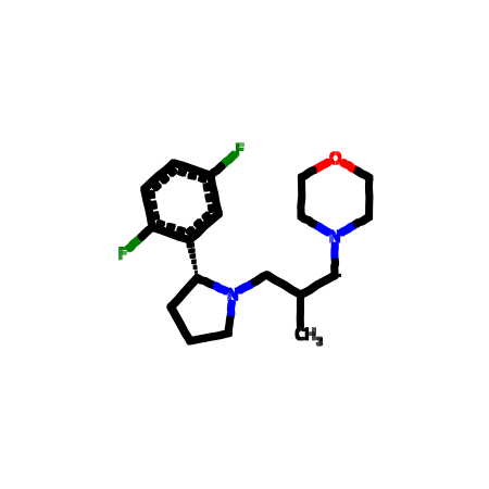 C[C]([CH]N1CCOCC1)CN1CCC[C@@H]1c1cc(F)ccc1F